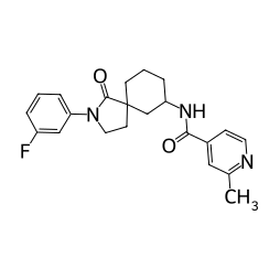 Cc1cc(C(=O)NC2CCCC3(CCN(c4cccc(F)c4)C3=O)C2)ccn1